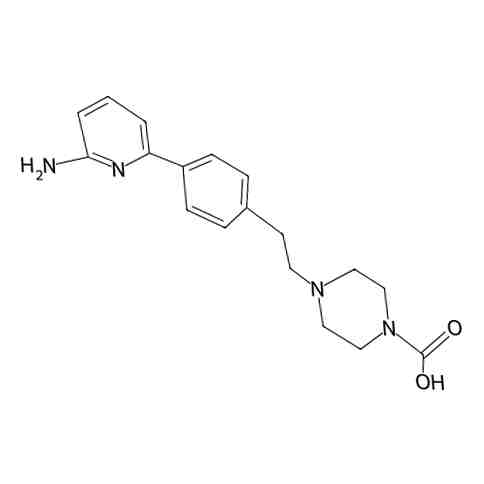 Nc1cccc(-c2ccc(CCN3CCN(C(=O)O)CC3)cc2)n1